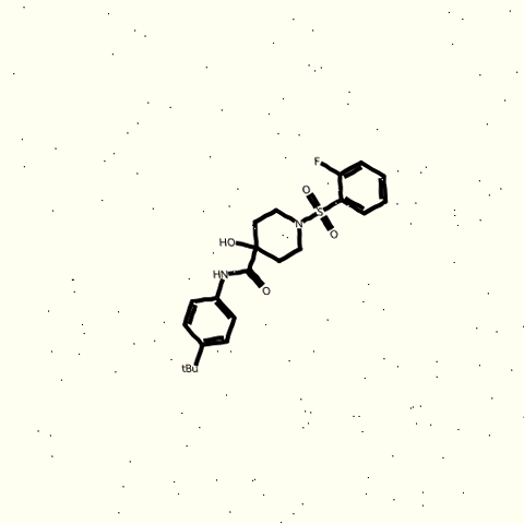 CC(C)(C)c1ccc(NC(=O)C2(O)CCN(S(=O)(=O)c3ccccc3F)CC2)cc1